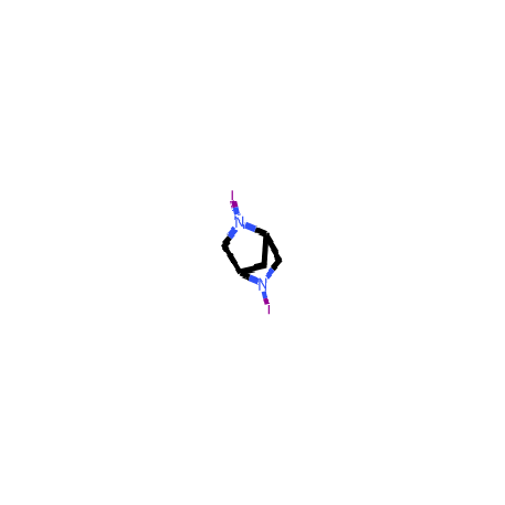 IN1CC2CC1CN2I